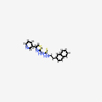 S=C(NCCc1ccc2ccccc2c1)Nc1nc(-c2cccnc2)cs1